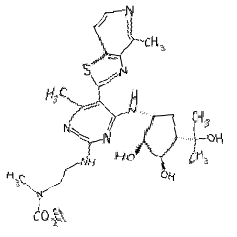 CCOC(=O)N(C)CCNc1nc(C)c(-c2nc3c(C)nccc3s2)c(N[C@@H]2C[C@H](C(C)(C)O)[C@@H](O)[C@H]2O)n1